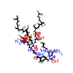 CCCCNc1nc(N)c2nc(O)n(Cc3ccc(C(=O)NCC(=O)NC(CCCCC(N)CC)C(=O)N(CCC(C)(CCCC(C)CCCC(C)CCCC(C)C)P(=O)(O)O)CC[C@](C)(CCCC(C)CCCC(C)CCCC(C)C)P(=O)(O)O)cc3)c2n1